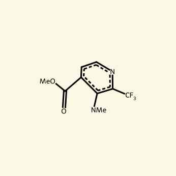 CNc1c(C(=O)OC)ccnc1C(F)(F)F